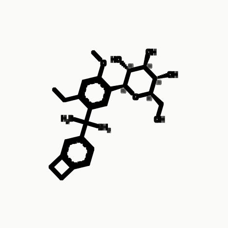 BC(B)(c1ccc2c(c1)CC2)c1cc([C@@H]2O[C@H](CO)[C@@H](O)[C@H](O)[C@H]2O)c(OC)cc1CC